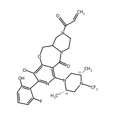 C=CC(=O)N1CCN2C(=O)c3c(N4C[C@H](C)N(C(F)(F)F)C[C@@H]4C)nc(-c4c(O)cccc4F)c(Cl)c3OCC2C1